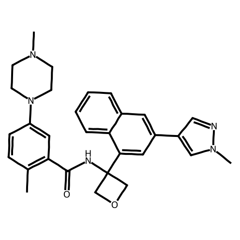 Cc1ccc(N2CCN(C)CC2)cc1C(=O)NC1(c2cc(-c3cnn(C)c3)cc3ccccc23)COC1